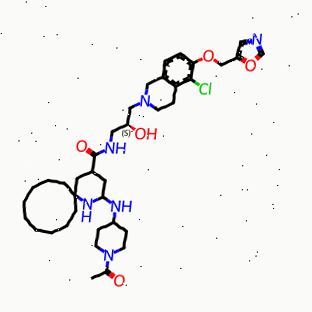 CC(=O)N1CCC(NC2CC(C(=O)NC[C@H](O)CN3CCc4c(ccc(OCc5cnco5)c4Cl)C3)CC3(CCCCCCCCC3)N2)CC1